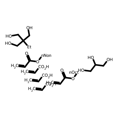 C=CC(=O)O.C=CC(=O)O.C=CC(=O)O.C=CC(=O)OCCCCCCCC.C=CC(=O)OCCCCCCCCC.CCC(CO)(CO)CO.OCC(O)CO